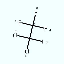 FC(F)(F)C(Cl)(Cl)I